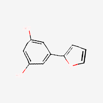 Oc1cc(O)cc(-c2ccco2)c1